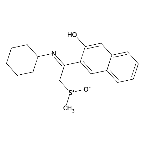 C[S+]([O-])C/C(=N\C1CCCCC1)c1cc2ccccc2cc1O